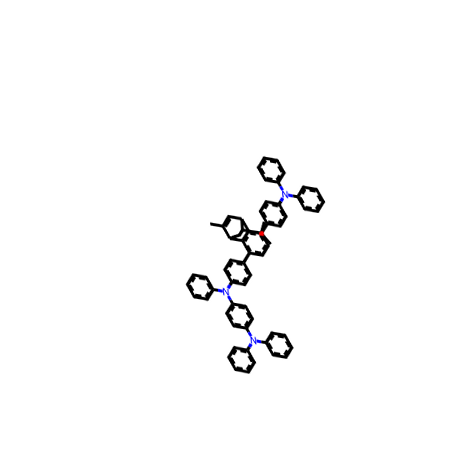 CC1=CC2c3c(-c4ccc(N(c5ccccc5)c5ccccc5)cc4)ccc(-c4ccc(N(c5ccccc5)c5ccc(N(c6ccccc6)c6ccccc6)cc5)cc4)c3C1CC2C(C)C